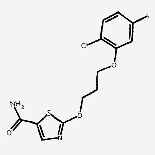 NC(=O)c1cnc(OCCCOc2cc(I)ccc2Cl)s1